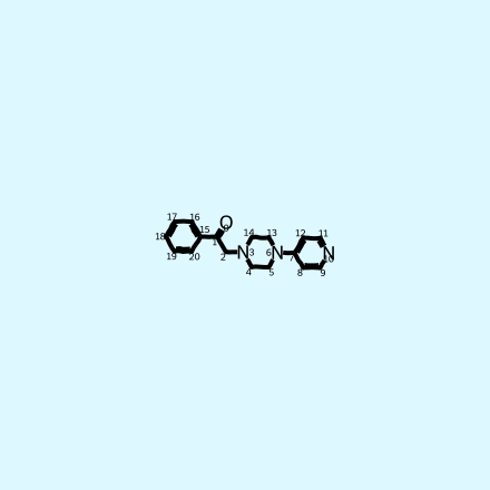 O=C(CN1CCN(c2ccncc2)CC1)c1ccccc1